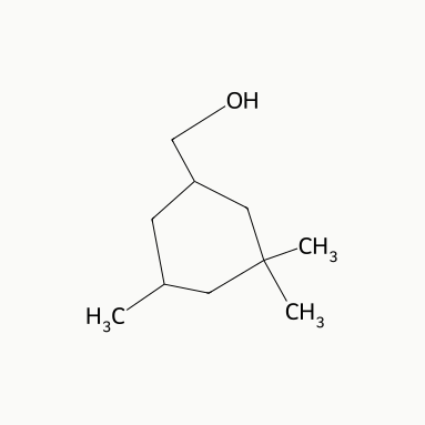 CC1CC(CO)CC(C)(C)C1